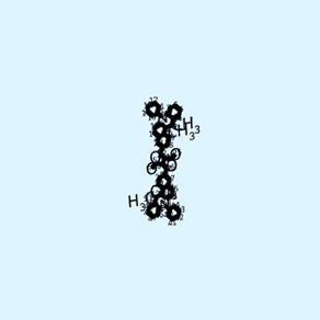 CC1(C)c2ccccc2N(c2ccccc2)c2ccc3cc(C4=C5C(=O)OC(c6ccc7c8c(ccc7c6)N(c6ccccc6)c6ccccc6C8(C)C)=C5C(=O)O4)ccc3c21